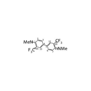 CNc1ccc(-c2ccc(NC)c(C(F)(F)F)c2)cc1C(F)(F)F